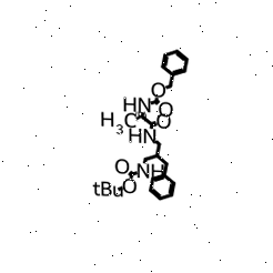 C[C@@H](NC(=O)OCc1ccccc1)C(=O)NCC(CNC(=O)OC(C)(C)C)Cc1ccccc1